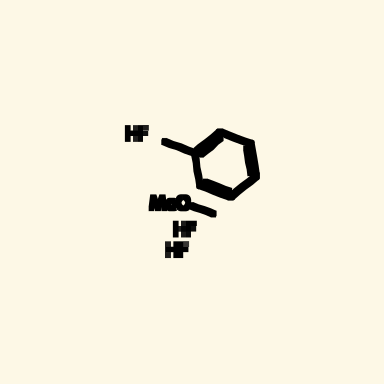 COC.Cc1ccccc1.F.F.F